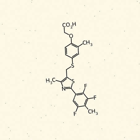 Cc1cc(SCc2sc(-c3cc(F)c(C)c(F)c3F)nc2C)ccc1OCC(=O)O